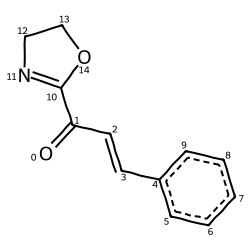 O=C(C=Cc1ccccc1)C1=NCCO1